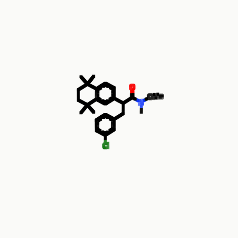 CON(C)C(=O)C(Cc1cccc(Cl)c1)c1ccc2c(c1)C(C)(C)CCC2(C)C